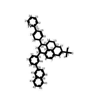 CC(C)(C)C1=Cc2ccc3c4c2C(CCC4C(C2C=CC(c4ccccn4)=CC2)C=C3c2cccc(-c3ccc4ccccc4c3)c2)C1